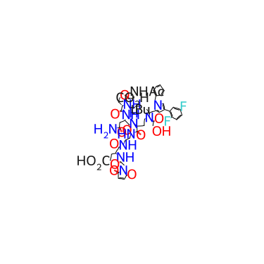 CC(=O)NCC(=O)N[C@H](CC(=O)O)C(=O)NC(CC(N)=O)C(=O)NC(CCN(C(=O)CO)C(c1cc(-c2cc(F)ccc2F)cn1Cc1ccccc1)C(C)(C)C)C(=O)NCCNC(=O)C(CCC(=O)O)NC(=O)CN1C(=O)C=CC1=O